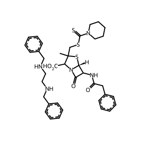 CC1(CSC(=S)N2CCCCC2)S[C@@H]2C(NC(=O)Cc3ccccc3)C(=O)N2C1C(=O)O.c1ccc(CNCCNCc2ccccc2)cc1